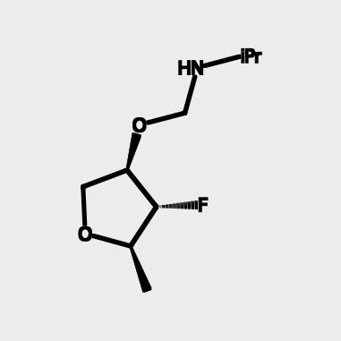 CC(C)NCO[C@@H]1CO[C@H](C)[C@H]1F